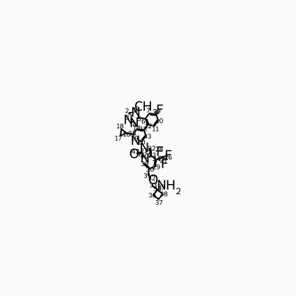 Cn1cnnc1-c1cc(F)ccc1-c1cc(C2CC2)nc(-n2cc3c(C(F)(F)F)cc(COCC4(N)CCC4)cn3c2=O)c1